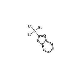 CCS(CC)(CC)c1cc2ccccc2o1